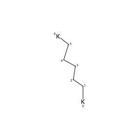 [K][CH2]CCC[CH2][K]